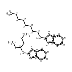 CCCC(CC)Oc1nc2ccccc2s1.CCCCCCCCOc1nc2ccccc2s1